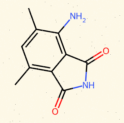 Cc1cc(C)c2c(c1N)C(=O)NC2=O